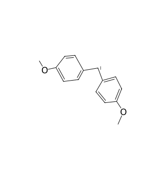 COc1ccc([C]c2ccc(OC)cc2)cc1